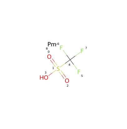 O=S(=O)(O)C(F)(F)F.[Pm]